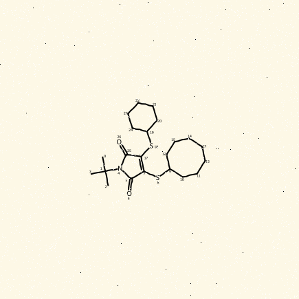 CC(C)(C)N1C(=O)C(SC2CCCCCCC2)=C(SC2CCCCC2)C1=O